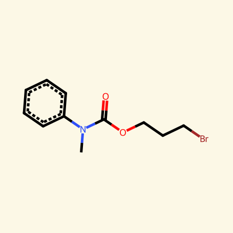 CN(C(=O)OCCCBr)c1ccccc1